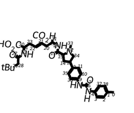 Cc1ccc(NC(=O)Nc2ccc(C3CC(C(=O)NC(CC=CCC(NC(=O)CC(C)(C)C)C(=O)O)C(=O)O)N(C)C3)cc2)cc1